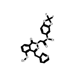 CCOc1cccc2c(=O)n(CC(=O)N(CC)c3ccc4c(c3)OC(F)(F)O4)nc(Cc3cccnc3)c12